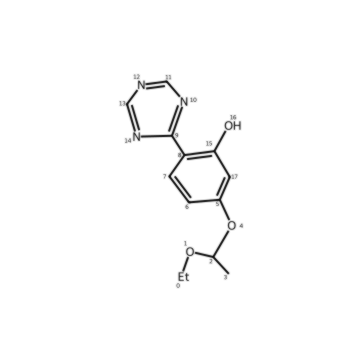 CCOC(C)Oc1ccc(-c2ncncn2)c(O)c1